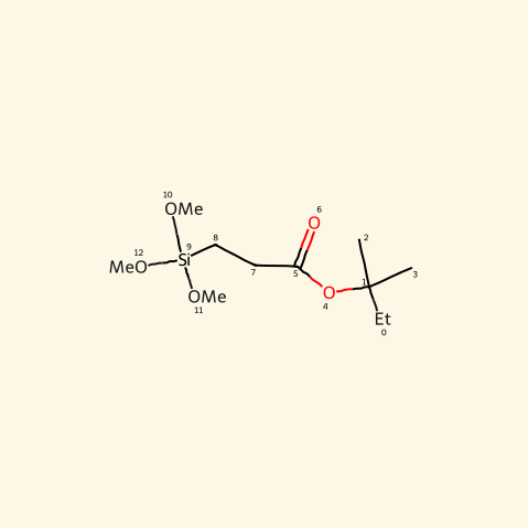 CCC(C)(C)OC(=O)CC[Si](OC)(OC)OC